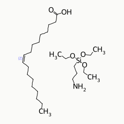 CCCCCCCC/C=C\CCCCCCCC(=O)O.CCO[Si](CCCN)(OCC)OCC